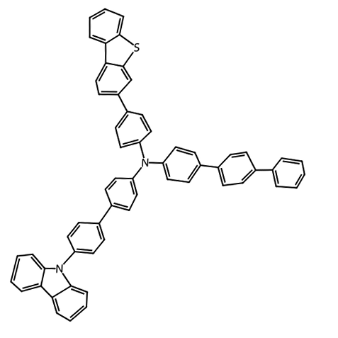 c1ccc(-c2ccc(-c3ccc(N(c4ccc(-c5ccc(-n6c7ccccc7c7ccccc76)cc5)cc4)c4ccc(-c5ccc6c(c5)sc5ccccc56)cc4)cc3)cc2)cc1